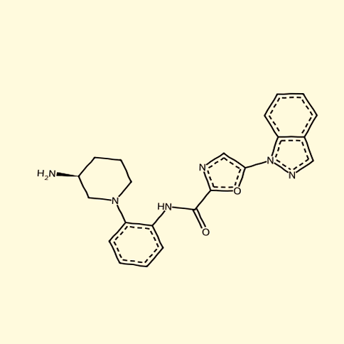 N[C@H]1CCCN(c2ccccc2NC(=O)c2ncc(-n3ncc4ccccc43)o2)C1